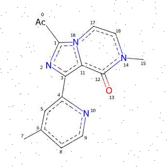 CC(=O)c1nc(-c2cc(C)ccn2)c2c(=O)n(C)ccn12